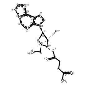 CC(=O)CCC(=O)O[C@H]1[C@@H](F)[C@H](n2cnc3c2ncn2ncnc32)O[C@@H]1CO